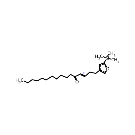 CCCCCCCCCCCC(=O)/C=C/CCc1coc([Si](C)(C)C)c1